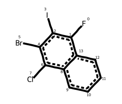 Fc1c(I)c(Br)c(Cl)c2ccccc12